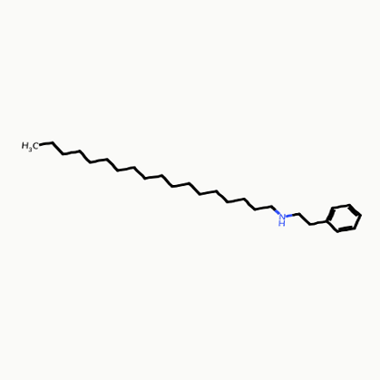 CCCCCCCCCCCCCCCCCCNCCc1ccccc1